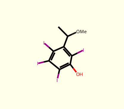 COC(C)c1c(I)c(O)c(I)c(I)c1I